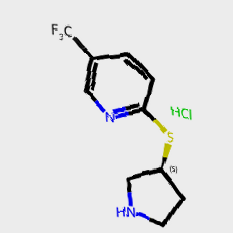 Cl.FC(F)(F)c1ccc(S[C@H]2CCNC2)nc1